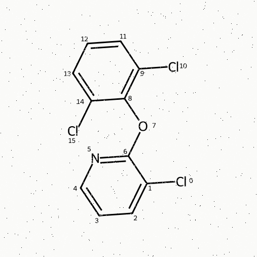 Clc1cccnc1Oc1c(Cl)cccc1Cl